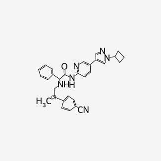 C[C@H](CNC(C(=O)Nc1ccc(-c2cnn(C3CCC3)c2)cn1)c1ccccc1)c1ccc(C#N)cc1